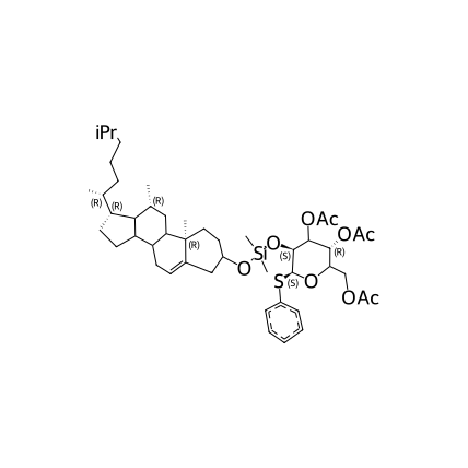 CC(=O)OCC1O[C@@H](Sc2ccccc2)[C@@H](O[Si](C)(C)OC2CC[C@@]3(C)C(=CCC4C5CC[C@H]([C@H](C)CCCC(C)C)C5[C@H](C)CC43)C2)C(OC(C)=O)[C@@H]1OC(C)=O